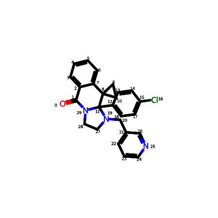 O=C1c2ccccc2C2(CC2)C2(c3ccc(Cl)cc3)N(Cc3cccnc3)CCN12